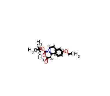 CCOc1ccc2c(c1)CCN(C(=O)OC(C)(C)C)[C@@H]2CC=O